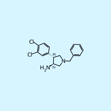 N[C@@H]1CN(Cc2ccccc2)C[C@H]1c1ccc(Cl)c(Cl)c1